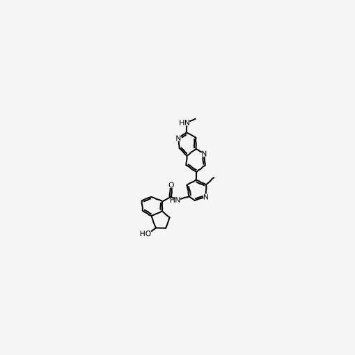 CNc1cc2ncc(-c3cc(NC(=O)c4cccc5c4CCC5O)cnc3C)cc2cn1